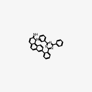 N=C1C=Cc2ccc3cc(-c4ccccc4-c4nc(-c5ccccc5)nc(-c5ccccc5)n4)ccc3c2C1=N